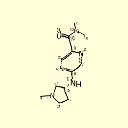 CN1CC[C@@H](Nc2cnc(C(=O)N(C)C)cn2)C1